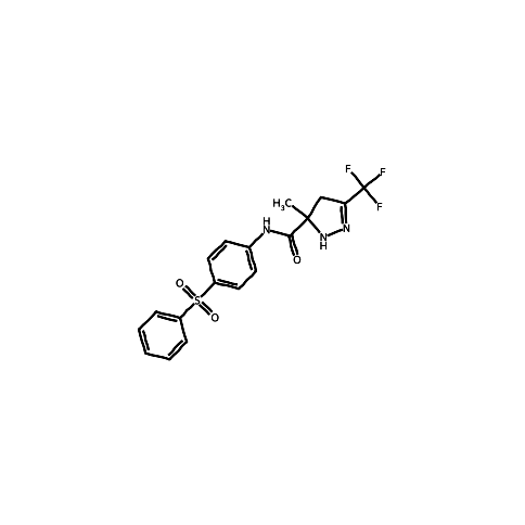 CC1(C(=O)Nc2ccc(S(=O)(=O)c3ccccc3)cc2)CC(C(F)(F)F)=NN1